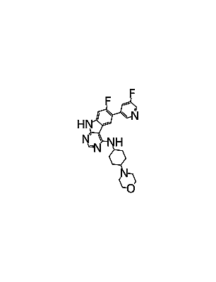 Fc1cncc(-c2cc3c(cc2F)[nH]c2ncnc(NC4CCC(N5CCOCC5)CC4)c23)c1